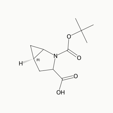 CC(C)(C)OC(=O)N1C(C(=O)O)C[C@H]2CC21